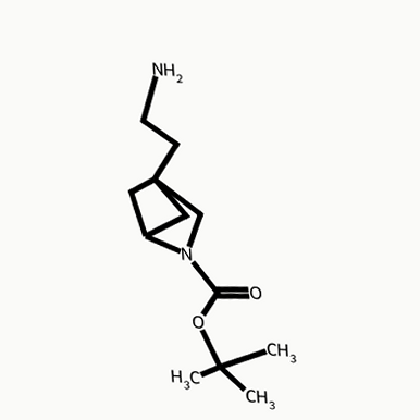 CC(C)(C)OC(=O)N1CC2(CCN)CC1C2